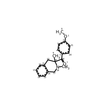 COc1ccc(C(=O)C2(C)Cc3ccccc3CN2C)cc1